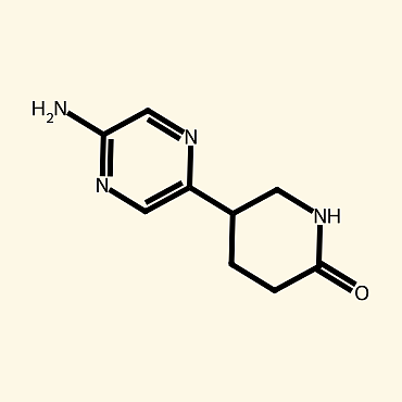 Nc1cnc(C2CCC(=O)NC2)cn1